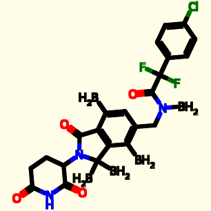 Bc1cc(CN(B)C(=O)C(F)(F)c2ccc(Cl)cc2)c(B)c2c1C(=O)N(C1CCC(=O)NC1=O)C2(B)B